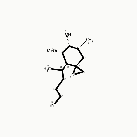 CO[C@@H]1[C@H](O)[C@H](C)C[C@]2(CO2)[C@H]1C(C)CCCC(C)C